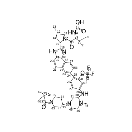 CC(C)C(NC(=O)O)C(=O)N1C[C@@H](C)C[C@H]1c1nc2c(ccc3cc(-c4ccc(N[C@@H]5CN(C6CCN(C(=O)C(C)(C)C)CC6)CCN5C)cc4OC(F)(F)F)ccc32)[nH]1